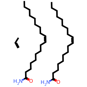 C=CC.CCCCCCCC/C=C\CCCCCCCC(N)=O.CCCCCCCC/C=C\CCCCCCCC(N)=O